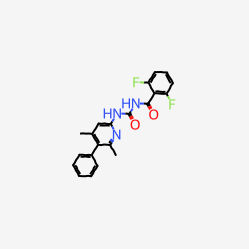 Cc1cc(NC(=O)NC(=O)c2c(F)cccc2F)nc(C)c1-c1ccccc1